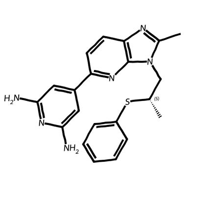 Cc1nc2ccc(-c3cc(N)nc(N)c3)nc2n1C[C@H](C)Sc1ccccc1